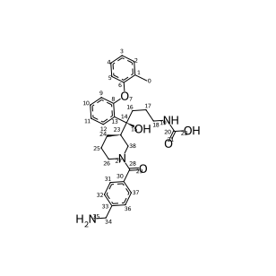 Cc1ccccc1Oc1ccccc1[C@](O)(CCCNC(=O)O)[C@@H]1CCCN(C(=O)c2ccc(CN)cc2)C1